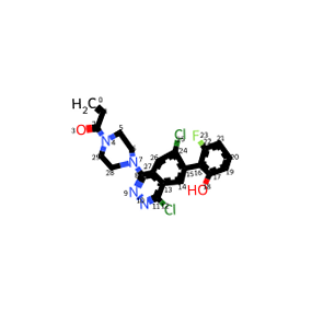 C=CC(=O)N1CCN(c2nnc(Cl)c3cc(-c4c(O)cccc4F)c(Cl)cc23)CC1